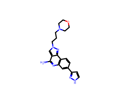 Nc1nc2cc(-c3cc[nH]n3)ccc2c2nn(CCCN3CCOCC3)cc12